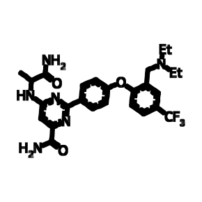 CCN(CC)Cc1cc(C(F)(F)F)ccc1Oc1ccc(-c2nc(NC(C)C(N)=O)cc(C(N)=O)n2)cc1